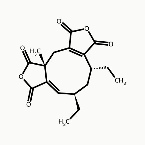 CC[C@H]1/C=C2/C(=O)OC(=O)[C@]2(C)CC2=C(C(=O)OC2=O)[C@H](CC)C1